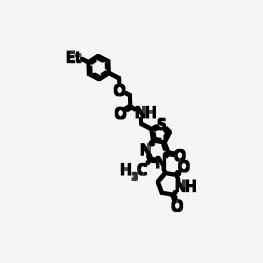 CCc1ccc(COCC(=O)NCc2scc3c(=O)n(C4CCC(=O)NC4=O)c(C)nc23)cc1